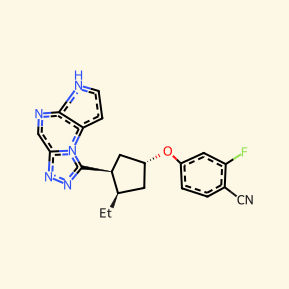 CC[C@@H]1C[C@@H](Oc2ccc(C#N)c(F)c2)C[C@@H]1c1nnc2cnc3[nH]ccc3n12